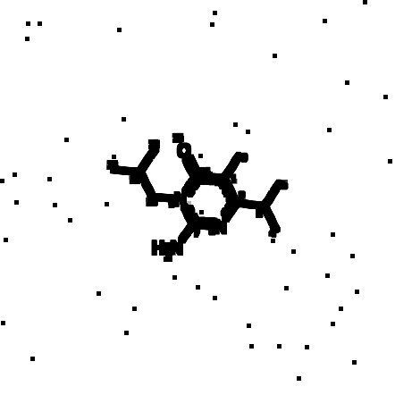 Cc1c(C(C)C)nc(N)n(CC(C)C)c1=O